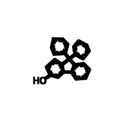 Oc1ccc2c(c1)-c1ccccc1C2(c1ccccc1)c1ccccc1